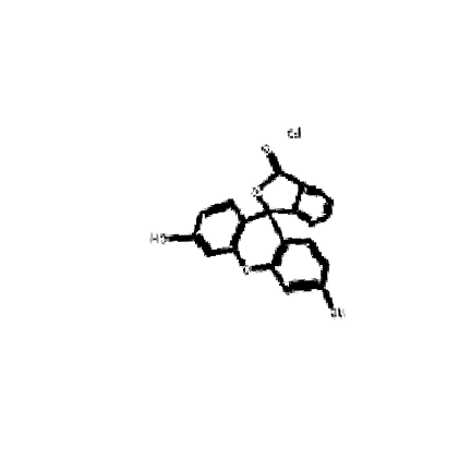 O=C1OC2(c3ccc(O)cc3Oc3cc(O)ccc32)c2ccccc21.[Cd]